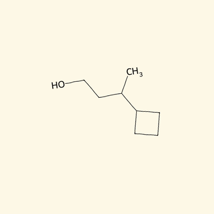 CC(CCO)C1CCC1